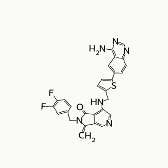 C=C1c2cncc(NCc3ccc(-c4ccc5ncnc(N)c5c4)s3)c2C(=O)N1Cc1ccc(F)c(F)c1